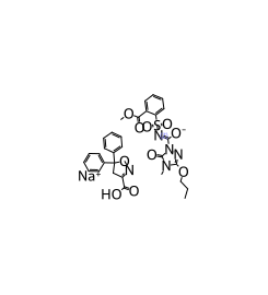 CCCOc1nn(/C([O-])=N/S(=O)(=O)c2ccccc2C(=O)OC)c(=O)n1C.O=C(O)C1=NOC(c2ccccc2)(c2ccccc2)C1.[Na+]